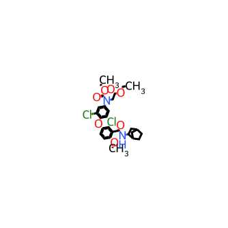 CCOC(=O)CN(C(=O)OCC)c1cc(Cl)c(Oc2ccc(OC)c(C(=O)NC3CC4CCC3C4)c2)c(Cl)c1